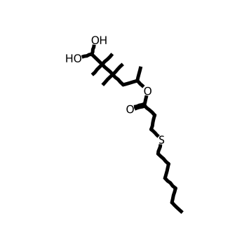 CCCCCCSCCC(=O)OC(C)CC(C)(C)C(C)(C)C(O)O